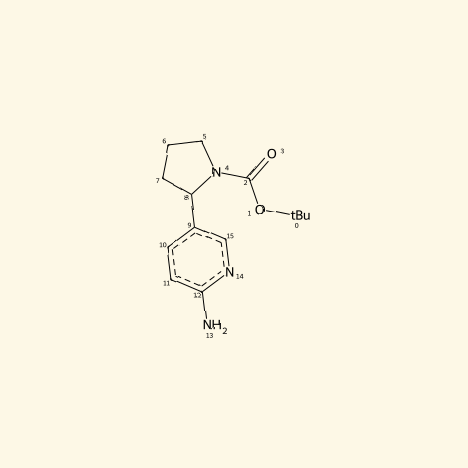 CC(C)(C)OC(=O)N1CCCC1c1ccc(N)nc1